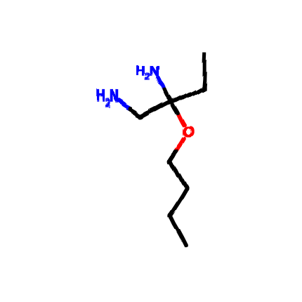 CCCCOC(N)(CC)CN